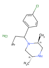 CC(C)CC(c1ccc(Cl)cc1)N1C[C@@H](C)NC[C@@H]1C.Cl